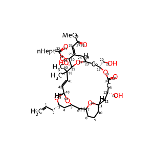 C=CC[C@H]1CC2C[C@H]3CCC[C@@H](C[C@@H](O)CC(=O)O[C@@H](CO)C[C@@H]4C/C(=C\C(=O)OC)[C@H](OC(=O)CCCCCCC)[C@@](O)(O4)C(C)(C)/C=C/[C@H](O2)O1)O3